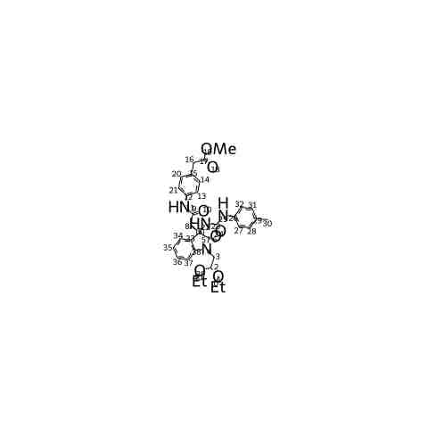 CCOC(CN1C(=O)[C@@](CC(=O)Nc2ccc(CC(=O)OC)cc2)(NC(=O)Nc2ccc(C)cc2)c2ccccc21)OCC